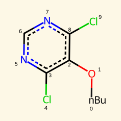 CCCCOc1c(Cl)ncnc1Cl